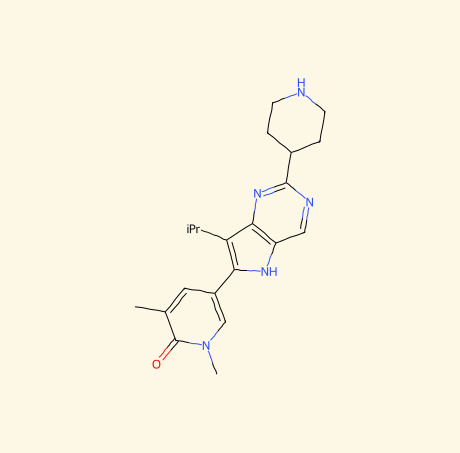 Cc1cc(-c2[nH]c3cnc(C4CCNCC4)nc3c2C(C)C)cn(C)c1=O